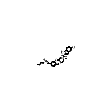 CCCCN(C)N=Cc1ccc(CN2CCN(S(=O)(=O)c3cc4cc(Cl)ccc4[nH]3)CC2=O)cc1